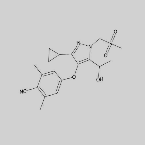 Cc1cc(Oc2c(C3CC3)nn(CS(C)(=O)=O)c2C(C)O)cc(C)c1C#N